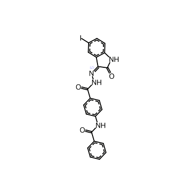 O=C1Nc2ccc(I)cc2/C1=N/NC(=O)c1ccc(NC(=O)c2ccccc2)cc1